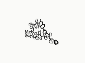 CNCC(=O)NC(C(=O)N1Cc2cc([C@H]3CC(C(=O)N[C@H](C=O)Cc4ccccc4)N(C(=O)C(NC(=O)CN(C)C(=O)OC(C)(C)C)C(C)(C)C)C3)ccc2CC1C)C(C)(C)C